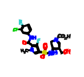 Cn1cc(S(=O)(=O)NC2CN(C(=O)O)CC2CO)c(F)c1C(=O)Nc1ccc(F)c(Cl)c1